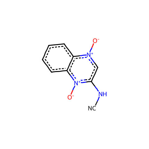 N#CNc1c[n+]([O-])c2ccccc2[n+]1[O-]